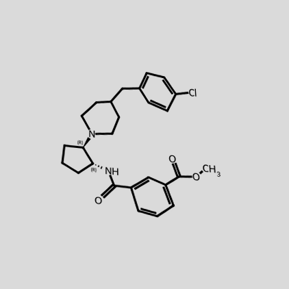 COC(=O)c1cccc(C(=O)N[C@@H]2CCC[C@H]2N2CCC(Cc3ccc(Cl)cc3)CC2)c1